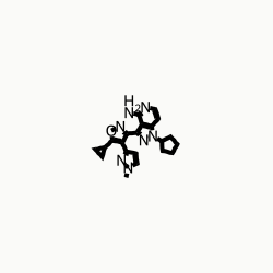 Cn1ccc(-c2c(-c3nn(C4CCCC4)c4ccnc(N)c34)noc2C2CC2)n1